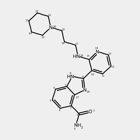 NC(=O)c1cccc2[nH]c(-c3cccnc3NCCCN3CCCCC3)nc12